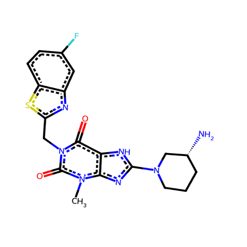 Cn1c(=O)n(Cc2nc3cc(F)ccc3s2)c(=O)c2[nH]c(N3CCC[C@@H](N)C3)nc21